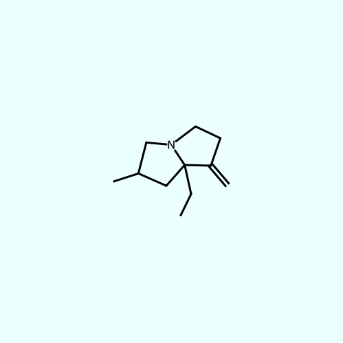 C=C1CCN2CC(C)CC12CC